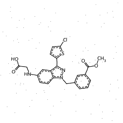 COC(=O)c1cccc(Cn2nc(-c3ccc(Cl)s3)c3cc(NCC(=O)O)ccc32)c1